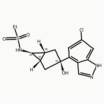 CCS(=O)(=O)N[C@H]1[C@@H]2C[C@](O)(c3cc(Cl)cc4[nH]ncc34)C[C@@H]21